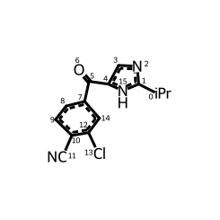 CC(C)c1ncc(C(=O)c2ccc(C#N)c(Cl)c2)[nH]1